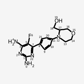 Nc1nc(N)c(F)c(-c2ccc(N3CCOCC3CO)cc2)n1